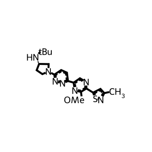 COc1nc(-c2ccc(N3CC[C@H](NC(C)(C)C)C3)nn2)cnc1-c1cc(C)ns1